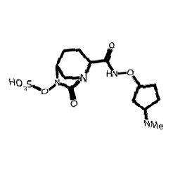 CNC1CCC(ONC(=O)C2CCC3CN2C(=O)N3OS(=O)(=O)O)C1